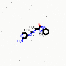 CC(/N=C(\C=O)Nc1ccnc(N)c1)=C1\C(=O)NC2(CCCCC2)N1C